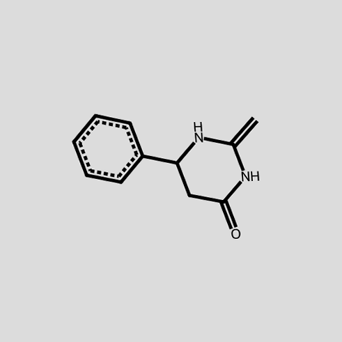 C=C1NC(=O)CC(c2ccccc2)N1